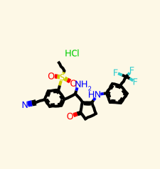 CCS(=O)(=O)c1cc(C#N)ccc1C(N)C1=C(Nc2cccc(C(F)(F)F)c2)CCC1=O.Cl